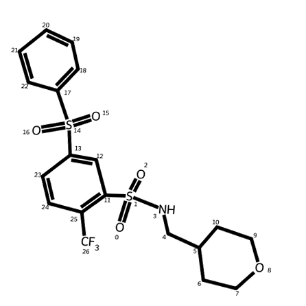 O=S(=O)(NCC1CCOCC1)c1cc(S(=O)(=O)c2ccccc2)ccc1C(F)(F)F